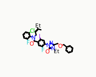 CC/C(C)=C/CN(C(=O)c1cc(F)c(-n2nc(COCc3ccccc3)n(CC)c2=O)cc1I)c1c(F)cccc1Cl